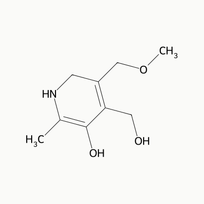 COCC1=C(CO)C(O)=C(C)NC1